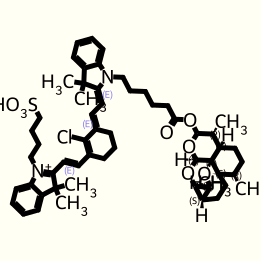 C[C@@H]1CC[C@H]2[C@@H](C)C(OC(=O)CCCCCN3/C(=C/C=C4\CCCC(/C=C/C5=[N+](CCCCS(=O)(=O)O)c6ccccc6C5(C)C)=C4Cl)C(C)(C)c4ccccc43)O[C@@H]3OC4(C)[C@H]5CC[C@@H]1[C@]32O[C@@H]54